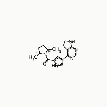 C[C@@H]1CC[C@H](C)N1C(=O)c1cc(-c2ncnc3c2CCN3)c[nH]1